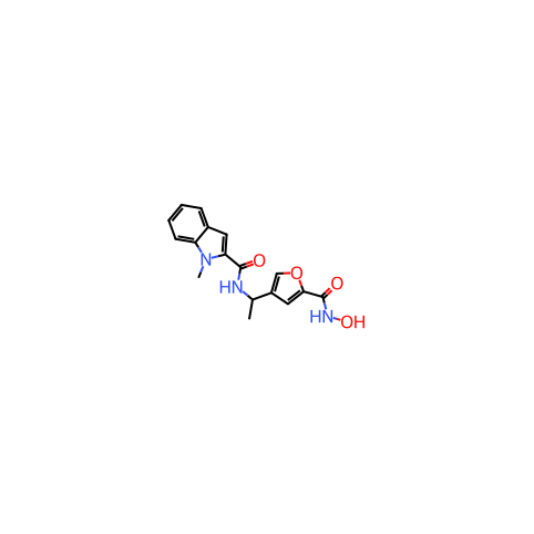 CC(NC(=O)c1cc2ccccc2n1C)c1coc(C(=O)NO)c1